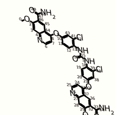 COc1cc2nccc(Oc3ccc(NC(=O)Nc4ccc(Oc5ccnc6cc(OC)c(C(N)=O)cc56)cc4Cl)c(Cl)c3)c2cc1C(N)=O